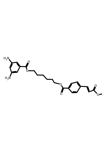 COC(=O)C=Cc1ccc(C(=O)OCCCCCCOC(=O)c2cc(N)cc(N)c2)cc1